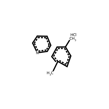 Cc1ccc(C)cc1.Cl.c1ccncc1